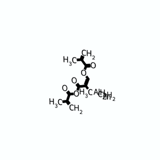 C=C(C)C(=O)OC=C(C)C(=O)OC(=O)C(=C)C.[AlH3].[CaH2].[Zn]